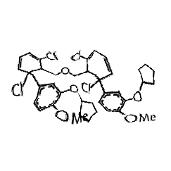 COc1ccc(C2(Cl)C=CC=C(Cl)C2COCC2C(Cl)=CC=CC2(Cl)c2ccc(OC)c(OC3CCCC3)c2)cc1OC1CCCC1